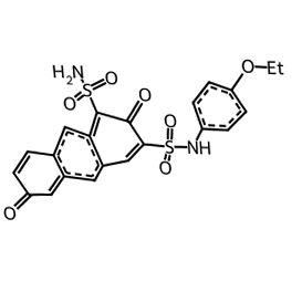 CCOc1ccc(NS(=O)(=O)C2=Cc3cc4c(cc3=C(S(N)(=O)=O)C2=O)C=CC(=O)C=4)cc1